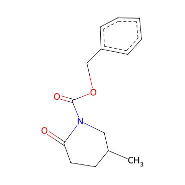 CC1CCC(=O)N(C(=O)OCc2ccccc2)C1